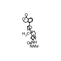 CNC(=O)Nc1cc2n(n1)CCN(c1ncc(-c3cccc4c3CCOC4=O)o1)C2C